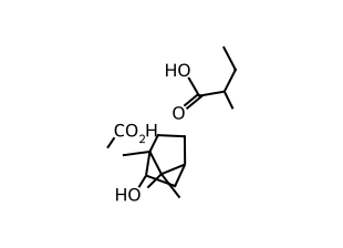 CC(=O)O.CC1(C)C2CCC1(C)C(O)C2.CCC(C)C(=O)O